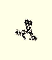 Cc1cccc2cccc(N3CCc4c(nc(OC[C@@H]5CC(F)(F)CN5C)nc4N4CCN(C(=O)OC(C)(C)C)C(CC#N)C4)C3)c12